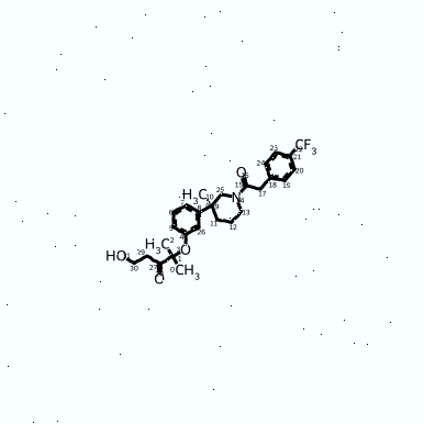 CC(C)(Oc1cccc([C@]2(C)CCCN(C(=O)Cc3ccc(C(F)(F)F)cc3)C2)c1)C(=O)CCO